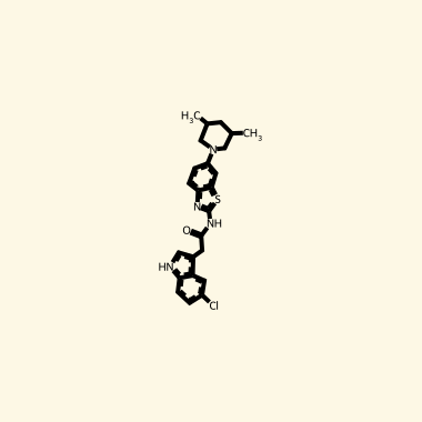 CC1CC(C)CN(c2ccc3nc(NC(=O)Cc4c[nH]c5ccc(Cl)cc45)sc3c2)C1